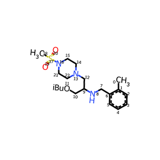 Cc1ccccc1CNC(COCC(C)C)CN1CCN(S(C)(=O)=O)CC1